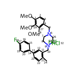 COc1ccc(CN2CCN(Cc3cc(-c4ccc(F)cc4)ccc3C)CC2)c(OC)c1OC.Cl.Cl